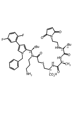 CC[C@H](C)[C@H](NCCN1C(=O)C=CC1=O)C(=O)N[C@@H](C)C(=O)N[C@@H](CSCC(=O)N(CCCN)[C@@H](c1cc(-c2cc(F)ccc2F)cn1Cc1ccccc1)C(C)(C)C)C(=O)O